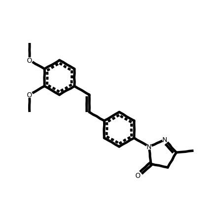 COc1ccc(C=Cc2ccc(N3N=C(C)CC3=O)cc2)cc1OC